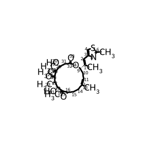 CC(=Cc1csc(C)n1)[C@@H]1C/C=C(/C)CCC2OC2(C)[C@H](O)[C@@H](C)C(=O)C(C)(C)[C@@H](O)CC(=O)O1